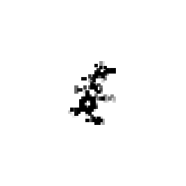 Cc1nnc(NC(=O)Nc2cc(Cl)c(OC(C)C)cc2OC(C)C)s1